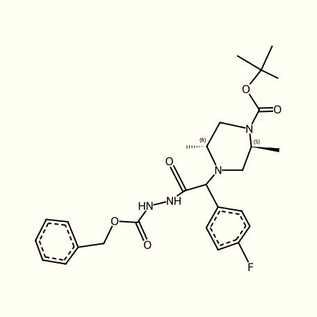 C[C@@H]1CN(C(=O)OC(C)(C)C)[C@@H](C)CN1C(C(=O)NNC(=O)OCc1ccccc1)c1ccc(F)cc1